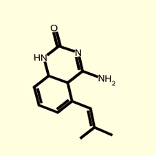 CC(C)=CC1=CC=CC2NC(=O)N=C(N)C12